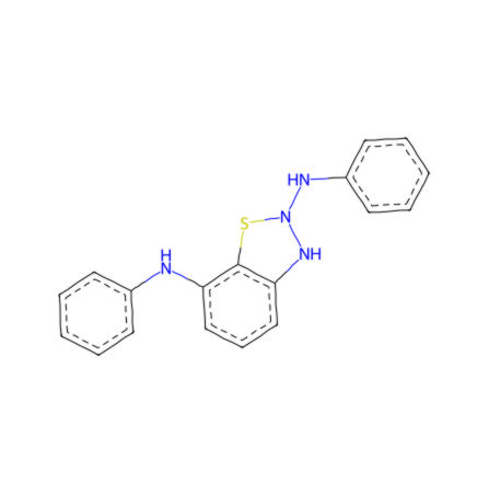 c1ccc(Nc2cccc3c2SN(Nc2ccccc2)N3)cc1